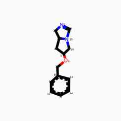 C1=NCC2CC(OCc3ccccc3)CN12